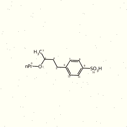 CCCOC(C)CCc1ccc(S(=O)(=O)O)cc1